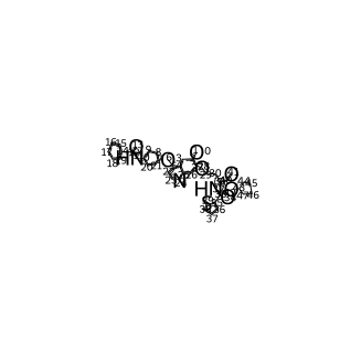 COc1cc2c(Oc3ccc(NC(=O)c4ccccc4)cc3)ccnc2cc1OCC[C@H](NC(=O)c1cccs1)C(=O)OC1CCCC1